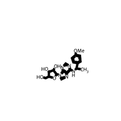 COc1ccc(C(C)Nc2ncnc3c2ncn3C2OC(CO)C(O)C2O)cc1